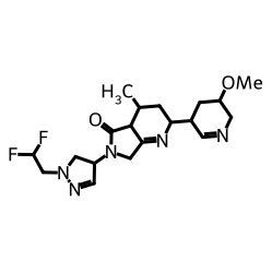 COC1CN=CC(C2CC(C)C3C(=O)N(C4C=NN(CC(F)F)C4)CC3=N2)C1